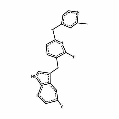 Cc1cc([CH]c2ccc(Cc3c[nH]c4ncc(Cl)cc34)c(F)n2)ccn1